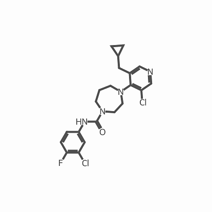 O=C(Nc1ccc(F)c(Cl)c1)N1CCCN(c2c(Cl)cncc2CC2CC2)CC1